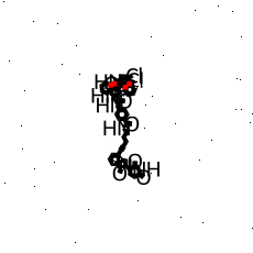 O=C1CCC(N2Cc3c(C#CCCCNC(=O)C4CCC(NC(=O)[C@@H]5NC6(CCCCC6)[C@@]6(C(=O)Nc7cc(Cl)ccc76)[C@H]5c5cccc(Cl)c5F)CC4)cccc3C2=O)C(=O)N1